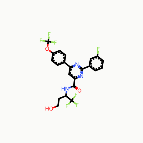 O=C(NC(CCO)C(F)(F)F)c1cc(-c2ccc(OC(F)(F)F)cc2)nc(-c2cccc(F)c2)n1